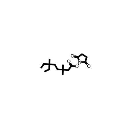 CCC(C)(CC)CCC(C)(C)CC(=O)ON1C(=O)CCC1=O